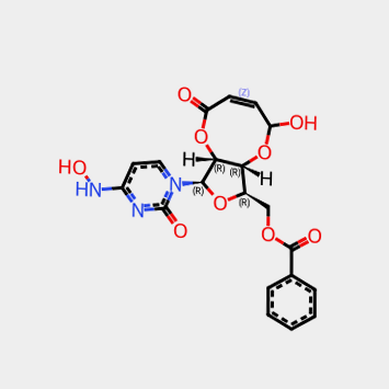 O=C1/C=C\C(O)O[C@H]2[C@@H](O1)[C@H](n1ccc(NO)nc1=O)O[C@@H]2COC(=O)c1ccccc1